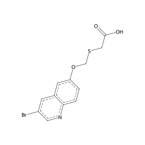 O=C(O)CSCOc1ccc2ncc(Br)cc2c1